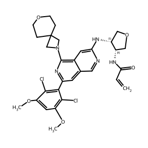 C=CC(=O)N[C@H]1COC[C@H]1Nc1cc2c(N3CC4(CCOCC4)C3)nc(-c3c(Cl)c(OC)cc(OC)c3Cl)cc2cn1